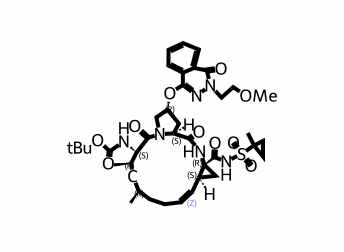 COCCn1nc(O[C@@H]2C[C@H]3C(=O)N[C@]4(C(=O)NS(=O)(=O)C5(C)CC5)C[C@H]4/C=C\CC[C@@H](C)C[C@@H](C)[C@H](NC(=O)OC(C)(C)C)C(=O)N3C2)c2ccccc2c1=O